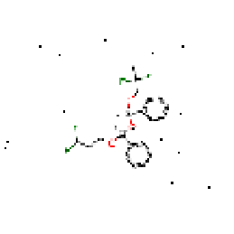 CC(F)(F)CO[Si](C)(O[Si](C)(OCCC(F)F)c1ccccc1)c1ccccc1